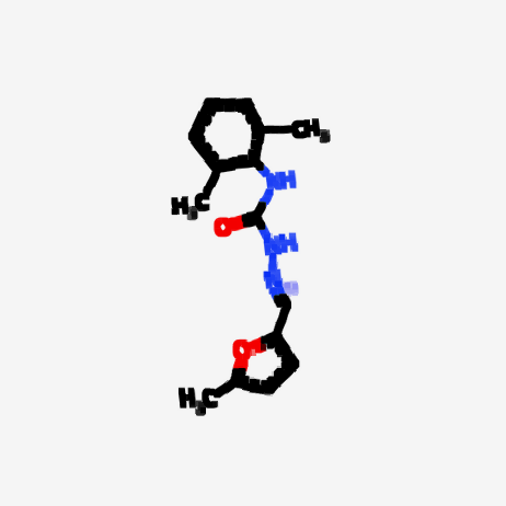 Cc1ccc(/C=N/NC(=O)Nc2c(C)cccc2C)o1